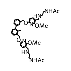 COc1nc(OCc2cccc(-c3cccc(COc4ccc(CNCCNC(C)=O)c(OC)n4)c3C)c2)ccc1CNCCNC(C)=O